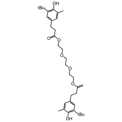 C=C(CCc1cc(C)c(O)c(C(C)(C)C)c1)OCCOCCOCCOC(=O)CCc1cc(C)c(O)c(C(C)(C)C)c1